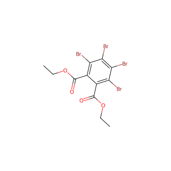 CCOC(=O)c1c(Br)c(Br)c(Br)c(Br)c1C(=O)OCC